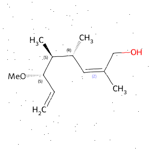 C=C[C@H](OC)[C@@H](C)[C@H](C)/C=C(/C)CO